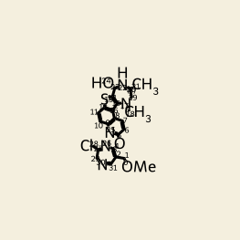 COCC1=C(Oc2ccc3c(ccc4sc5c(c43)N(C)C[C@@H](C)NC5O)n2)N=C(Cl)CN=C1